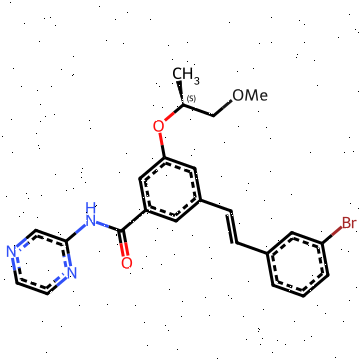 COC[C@H](C)Oc1cc(C=Cc2cccc(Br)c2)cc(C(=O)Nc2cnccn2)c1